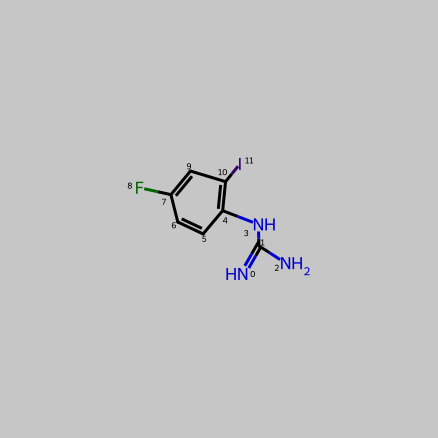 N=C(N)Nc1ccc(F)cc1I